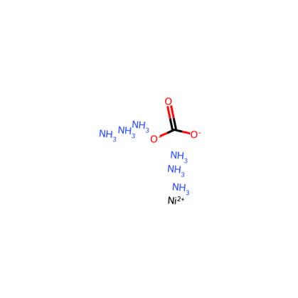 N.N.N.N.N.N.O=C([O-])[O-].[Ni+2]